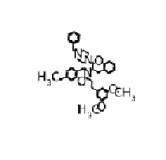 CCc1ccc(CN(C(=O)C=Cc2cc(OC)cc(OC)c2)C(Cc2ccccc2)C(=O)N2CCN(Cc3ccccc3)CC2)cc1